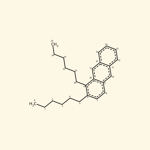 CCCCCCc1ccc2cc3ccccc3cc2c1CCCCCC